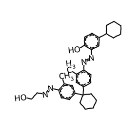 Cc1cc(C2(c3ccc(/N=N/c4cc(C5CCCCC5)ccc4O)c(C)c3)CCCCC2)ccc1/N=N/CCO